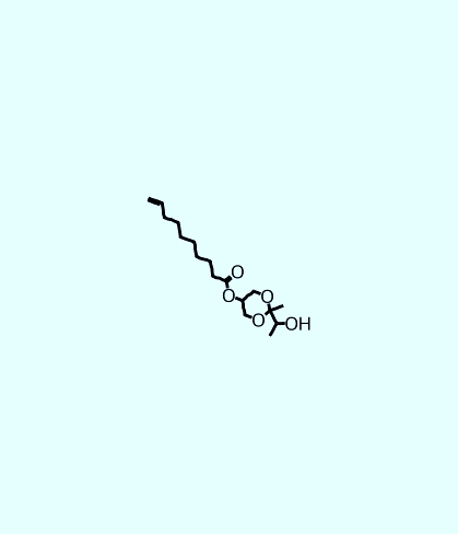 C=CCCCCCCCC(=O)OC1COC(C)(C(C)O)OC1